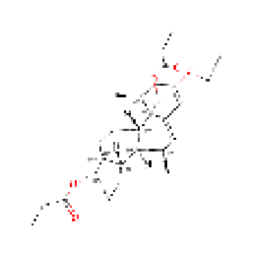 CCOC1=CC2=C[C@@H](C)[C@H]3[C@@H]4CC[C@H](OC(=O)CC)[C@@]4(C)CC[C@@H]3[C@@]2(COC(=O)CC)[C@@H](C)C1